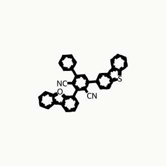 N#Cc1c(-c2ccccc2)cc(-c2ccc3sc4ccccc4c3c2)c(C#N)c1-c1cccc2c1oc1ccccc12